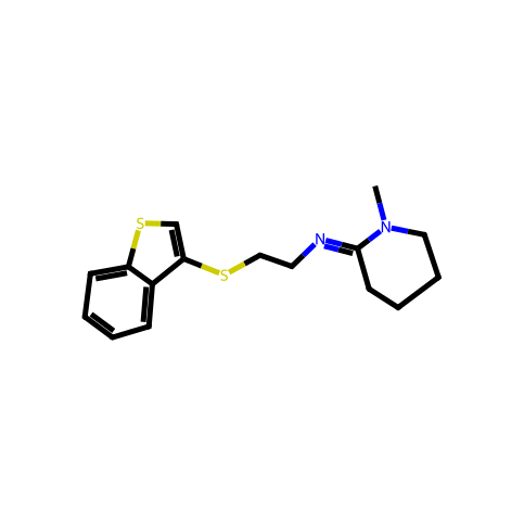 CN1CCCCC1=NCCSc1csc2ccccc12